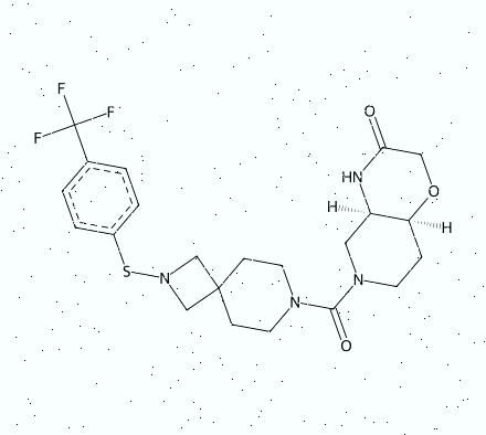 O=C1CO[C@H]2CCN(C(=O)N3CCC4(CC3)CN(Sc3ccc(C(F)(F)F)cc3)C4)C[C@H]2N1